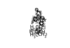 CC(O[Si](C)(C)C(C)(C)C)c1cc(NC(=O)N2C=CC(=O)CC2c2ccc(F)cc2)c(Br)cc1Cl